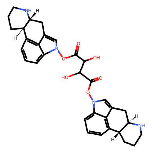 O=C(On1cc2c3c(cccc31)[C@H]1CCCN[C@@H]1C2)C(O)C(O)C(=O)On1cc2c3c(cccc31)[C@H]1CCCN[C@@H]1C2